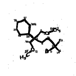 COCC(CCC(F)(F)Br)(COC)C1CCCCC1